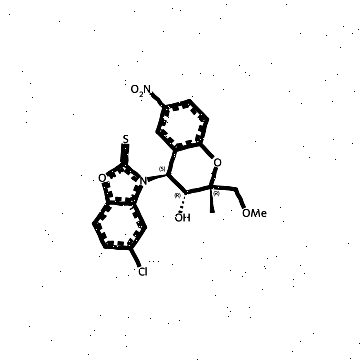 COC[C@@]1(C)Oc2ccc([N+](=O)[O-])cc2[C@H](n2c(=S)oc3ccc(Cl)cc32)[C@H]1O